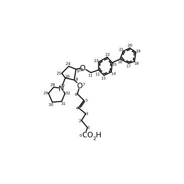 O=C(O)CCC/C=C/COC1C(OCc2ccc(-c3ccccc3)cc2)CCC1N1CCCCC1